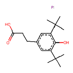 CC(C)(C)c1cc(CCC(=O)O)cc(C(C)(C)C)c1O.[P]